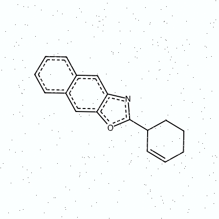 C1=CC(c2nc3cc4ccccc4cc3o2)CCC1